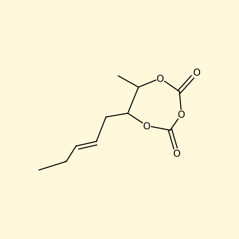 CCC=CCC1OC(=O)OC(=O)OC1C